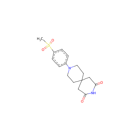 CS(=O)(=O)c1ccc(N2CCC3(CC2)CC(=O)NC(=O)C3)cc1